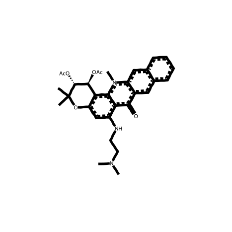 CC(=O)O[C@@H]1[C@@H](OC(C)=O)c2c(cc(NCCN(C)C)c3c(=O)c4cc5ccccc5cc4n(C)c23)OC1(C)C